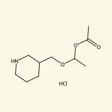 CC(=O)OC(C)OCC1CCCNC1.Cl